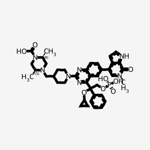 C[C@@H]1CN(CC2CCN(c3nc(C(COP(=O)(O)O)(OC4CC4)c4ccccc4)c4cc(-c5cn(C)c(=O)c6[nH]ccc56)ccc4n3)CC2)[C@@H](C)CN1C(=O)O